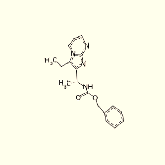 CCc1c([C@@H](C)NC(=O)OCc2ccccc2)nc2ncccn12